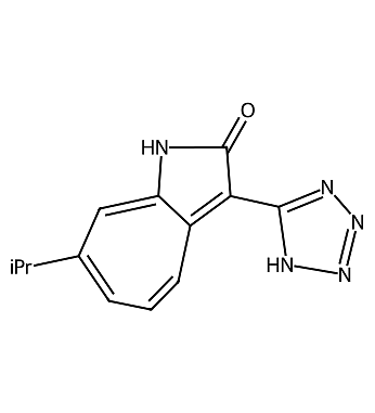 CC(C)c1cccc2c(-c3nnn[nH]3)c(=O)[nH]c-2c1